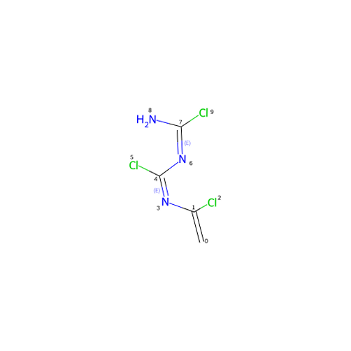 C=C(Cl)/N=C(Cl)\N=C(/N)Cl